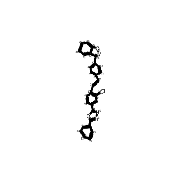 Clc1cc(-c2nnc(-c3ccccc3)o2)ccc1C=Cc1ccc(-c2noc3ccccc23)cc1